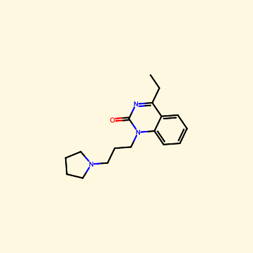 CCc1nc(=O)n(CCCN2CCCC2)c2ccccc12